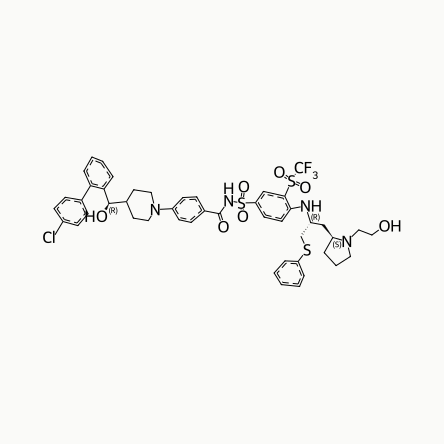 O=C(NS(=O)(=O)c1ccc(N[C@@H](CSc2ccccc2)C[C@@H]2CCCN2CCO)c(S(=O)(=O)C(F)(F)F)c1)c1ccc(N2CCC([C@@H](O)c3ccccc3-c3ccc(Cl)cc3)CC2)cc1